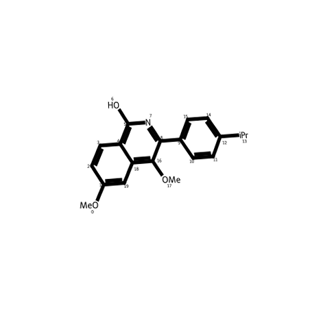 COc1ccc2c(O)nc(-c3ccc(C(C)C)cc3)c(OC)c2c1